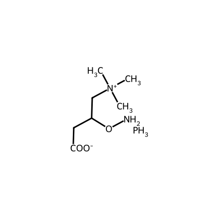 C[N+](C)(C)CC(CC(=O)[O-])ON.P